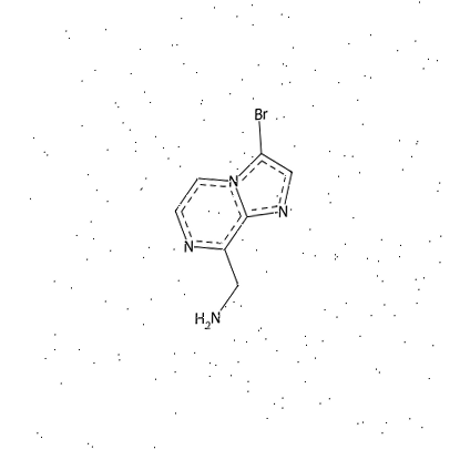 NCc1nccn2c(Br)cnc12